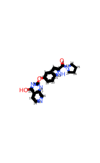 O=C(c1cc2cc(Oc3nc(O)c4ccncc4n3)ccc2[nH]1)N1CCCC1